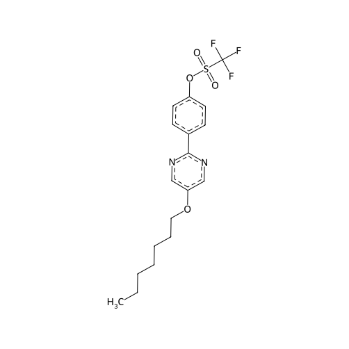 CCCCCCCOc1cnc(-c2ccc(OS(=O)(=O)C(F)(F)F)cc2)nc1